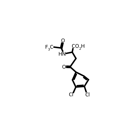 O=C(CC(NC(=O)C(F)(F)F)C(=O)O)c1ccc(Cl)c(Cl)c1